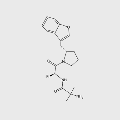 CC(C)[C@H](NC(=O)C(C)(C)N)C(=O)N1CCC[C@H]1Cc1coc2ccccc12